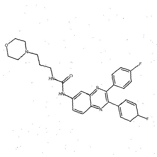 O=C(NCCCN1CCOCC1)Nc1ccc2nc(C3=CCC(F)C=C3)c(-c3ccc(F)cc3)nc2c1